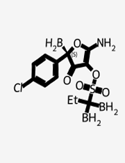 BC(B)(CC)S(=O)(=O)OC1=C(N)O[C@@](B)(c2ccc(Cl)cc2)C1=O